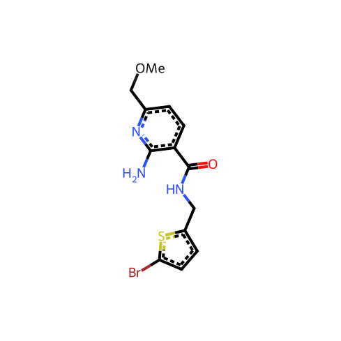 COCc1ccc(C(=O)NCc2ccc(Br)s2)c(N)n1